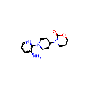 Nc1cccnc1N1CCC(N2CCCOC2=O)CC1